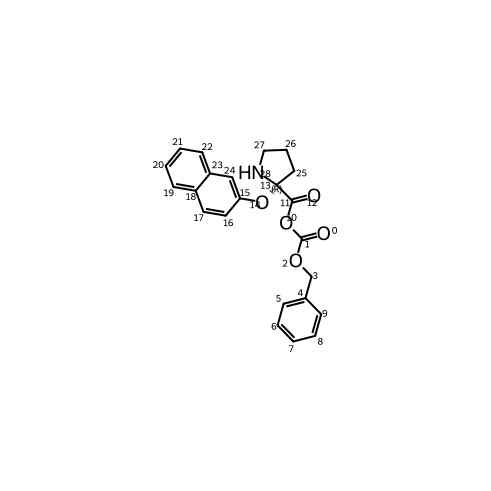 O=C(OCc1ccccc1)OC(=O)[C@]1(Oc2ccc3ccccc3c2)CCCN1